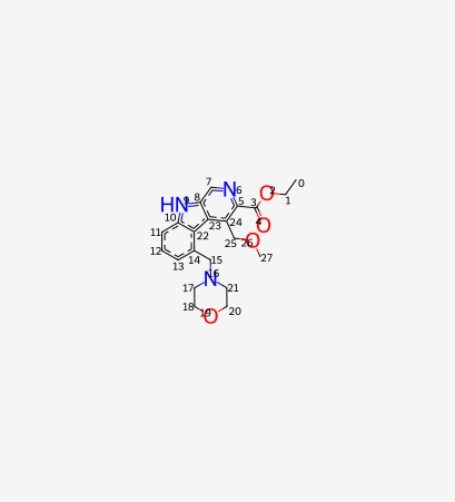 CCOC(=O)c1ncc2[nH]c3cccc(CN4CCOCC4)c3c2c1COC